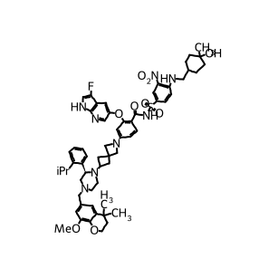 COc1cc(CN2CCN(C3CC4(C3)CN(c3ccc(C(=O)NS(=O)(=O)c5ccc(NCC6CCC(C)(O)CC6)c([N+](=O)[O-])c5)c(Oc5cnc6[nH]cc(F)c6c5)c3)C4)[C@H](c3ccccc3C(C)C)C2)cc2c1OCCC2(C)C